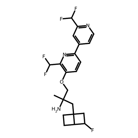 CC(N)(COc1ccc(-c2ccnc(C(F)F)c2)nc1C(F)F)CC12CCC1C(F)C2